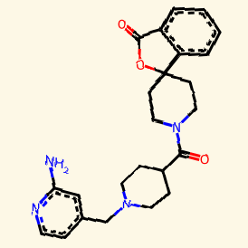 Nc1cc(CN2CCC(C(=O)N3CCC4(CC3)OC(=O)c3ccccc34)CC2)ccn1